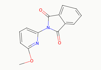 COc1cccc(N2C(=O)c3ccccc3C2=O)n1